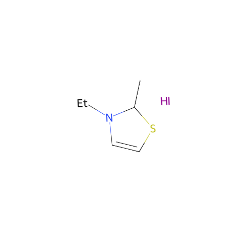 CCN1C=CSC1C.I